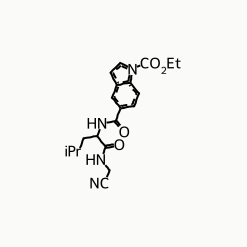 CCOC(=O)n1ccc2cc(C(=O)NC(CC(C)C)C(=O)NCC#N)ccc21